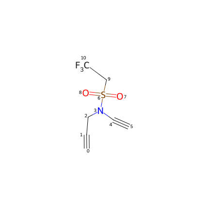 C#CCN(C#C)S(=O)(=O)CC(F)(F)F